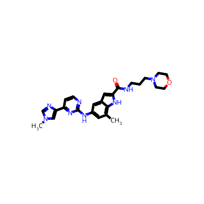 Cc1cc(Nc2nccc(-c3cn(C)cn3)n2)cc2cc(C(=O)NCCCN3CCOCC3)[nH]c12